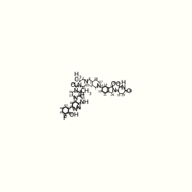 C[C@@H]1CN(CC2CCN(c3ccc4c(c3)C(=O)N([C@@H]3CCC(=O)NC3=O)C4)CC2)C[C@H](C)N1C(=O)N1CCN2c3cc(-c4cccc(F)c4O)nnc3NC[C@H]2C1